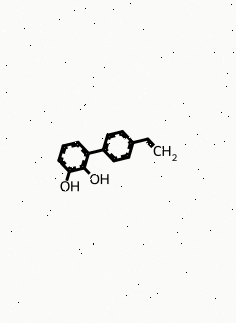 C=Cc1ccc(-c2cccc(O)c2O)cc1